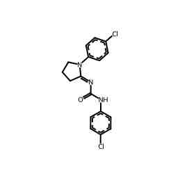 O=C(N=C1CCCN1c1ccc(Cl)cc1)Nc1ccc(Cl)cc1